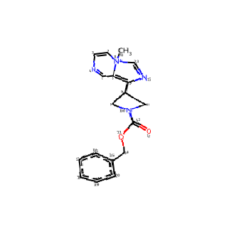 C[N+]12C=CN=CC1=C(C1CN(C(=O)OCc3ccccc3)C1)N=C2